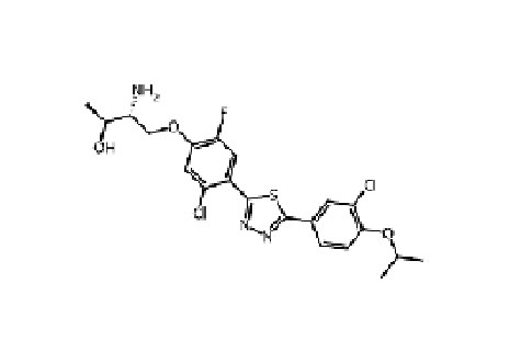 CC(C)Oc1ccc(-c2nnc(-c3cc(F)c(OC[C@@H](N)[C@H](C)O)cc3Cl)s2)cc1Cl